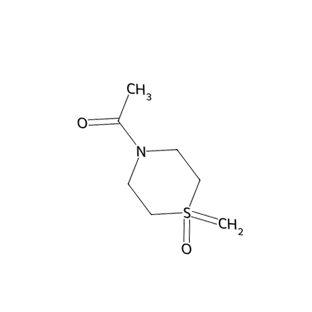 C=S1(=O)CCN(C(C)=O)CC1